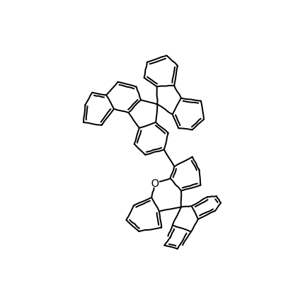 c1ccc2c(c1)Oc1c(-c3ccc4c(c3)C3(c5ccccc5-c5ccccc53)c3ccc5ccccc5c3-4)cccc1C21c2ccccc2-c2ccccc21